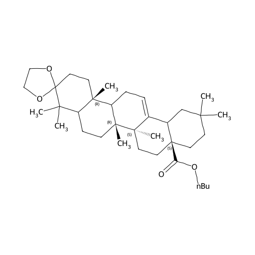 CCCCOC(=O)[C@]12CCC(C)(C)CC1C1=CCC3[C@@]4(C)CCC5(OCCO5)C(C)(C)C4CC[C@@]3(C)[C@]1(C)CC2